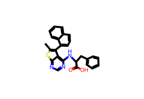 Cc1sc2ncnc(NC(Cc3ccccc3)C(=O)O)c2c1-c1cccc2ccccc12